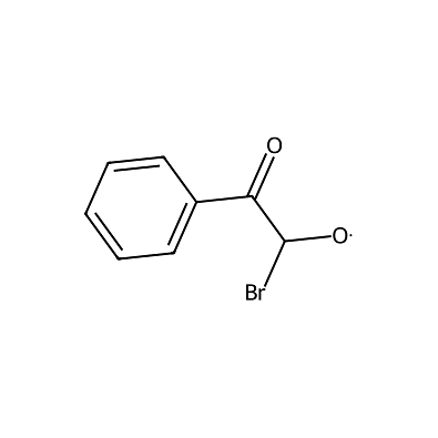 [O]C(Br)C(=O)c1ccccc1